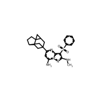 CNc1nn2c(N)cc(C34CC5CCC6(CC6C3)C5C4)nc2c1S(=O)(=O)c1ccccc1